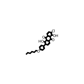 CCCCCCOc1ccc(-c2ccc3c(c2O)C(=O)c2ccc(Cl)c(O)c2C3=O)cc1